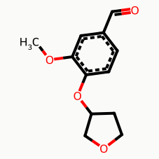 COc1cc(C=O)ccc1OC1CCOC1